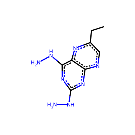 CCc1cnc2nc(NN)nc(NN)c2n1